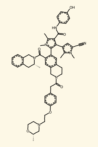 Cc1c(-c2c(C(=O)Nc3ccc(O)cc3)c(C)n(C)c2-c2cc3c(cc2C(=O)N2Cc4ccccc4C[C@H]2C)CN(C(=O)Cc2ccc(OCCN4CCO[C@@H](C)C4)cc2)CC3)cc(C#N)n1C